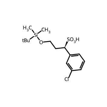 CC(C)(C)[Si](C)(C)OCC[C@H](c1cccc(Cl)c1)S(=O)(=O)O